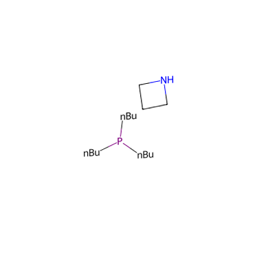 C1CNC1.CCCCP(CCCC)CCCC